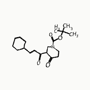 CC(C)(C)OC(=O)N1CCC(=O)C(C(=O)CCC2CCCCC2)C1